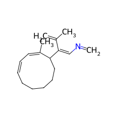 C=N/C=C(\C(=C)C)C1CCCCC/C=C\C=C/1C